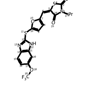 CC(C)N1C(=O)SC(=Cc2ccc(Sc3nc4ccc(OC(F)(F)F)cc4[nH]3)o2)C1=O